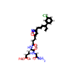 C=C/C(=C\C=C\c1cc(CCC(=O)N[C@@H](CCCC(=O)O)C(=O)NCC(N)=O)on1)c1cccc(Cl)c1